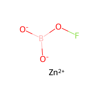 [O-]B([O-])OF.[Zn+2]